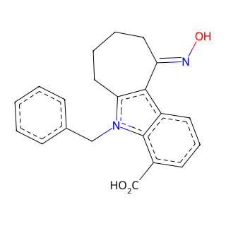 O=C(O)c1cccc2c3c(n(Cc4ccccc4)c12)CCCCC3=NO